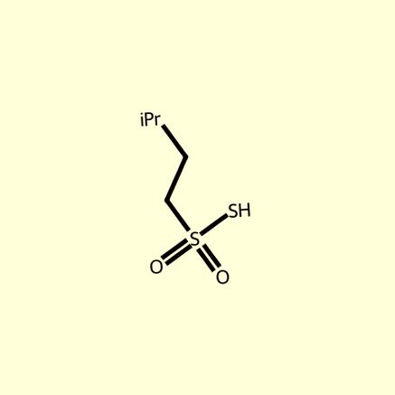 CC(C)CCS(=O)(=O)S